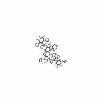 CCN(C(=O)[C@@H]1C[C@@H](N2CCCCC2)CN1S(=O)(=O)c1cccc(C#N)c1)[C@@H](Cc1ccc(NC(=O)c2c(Cl)cncc2Cl)cc1)C(=O)O